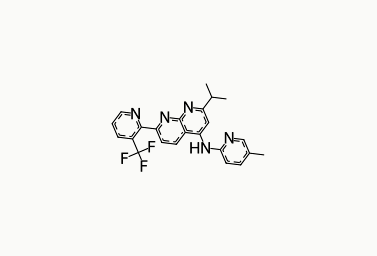 Cc1ccc(Nc2cc(C(C)C)nc3nc(-c4ncccc4C(F)(F)F)ccc23)nc1